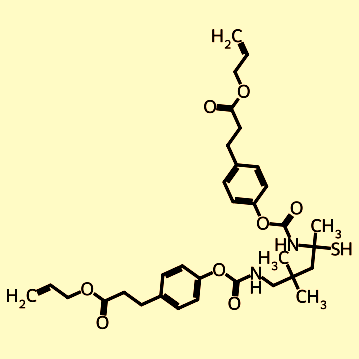 C=CCOC(=O)CCc1ccc(OC(=O)NCC(C)(C)CC(C)(S)NC(=O)Oc2ccc(CCC(=O)OCC=C)cc2)cc1